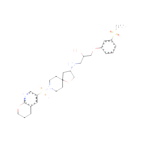 CNS(=O)(=O)c1cccc(OCC(O)CN[C@H]2COC3(CCN(S(=O)(=O)c4cnc5c(c4)CCCO5)CC3)C2)c1